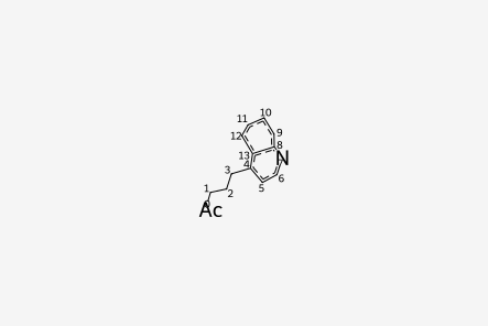 CC(=O)CCCc1ccnc2ccccc12